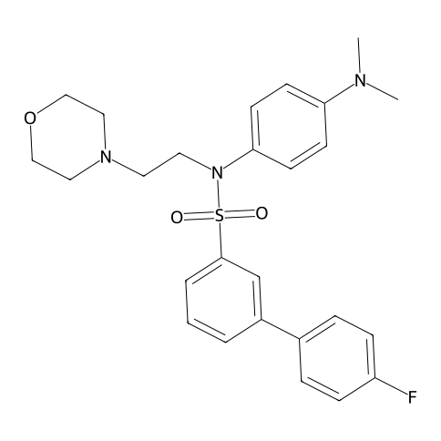 CN(C)c1ccc(N(CCN2CCOCC2)S(=O)(=O)c2cccc(-c3ccc(F)cc3)c2)cc1